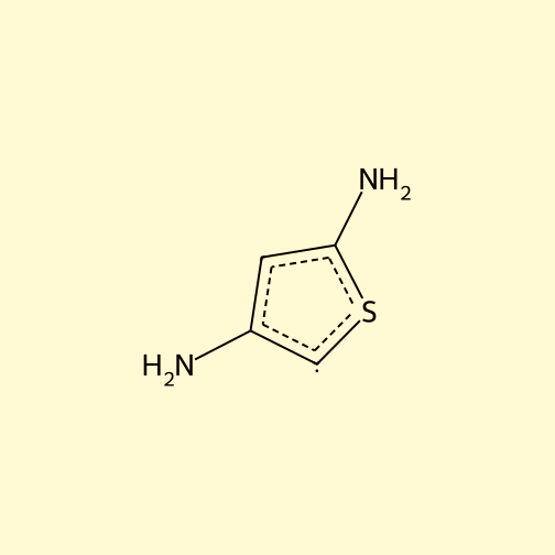 Nc1[c]sc(N)c1